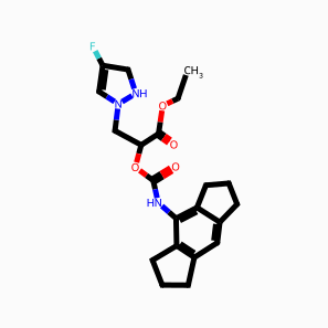 CCOC(=O)C(CN1C=C(F)CN1)OC(=O)Nc1c2c(cc3c1CCC3)CCC2